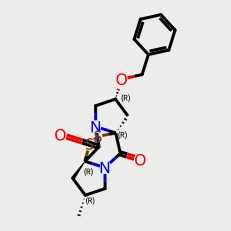 C[C@H]1CN2C(=O)[C@]34C[C@@H](OCc5ccccc5)CN3C(=O)[C@@]2(C1)SS4